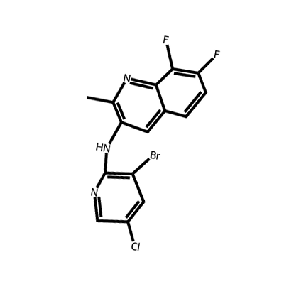 Cc1nc2c(F)c(F)ccc2cc1Nc1ncc(Cl)cc1Br